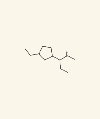 CCC(NC)C1CCN(CC)C1